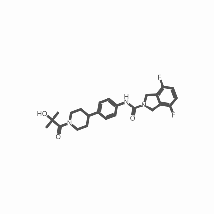 CC(C)(O)C(=O)N1CCC(c2ccc(NC(=O)N3Cc4c(F)ccc(F)c4C3)cc2)CC1